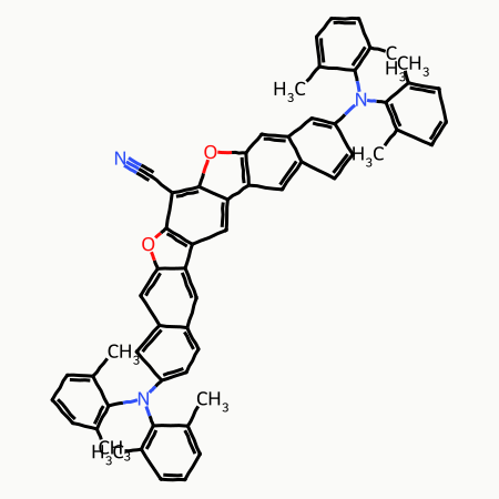 Cc1cccc(C)c1N(c1ccc2cc3c(cc2c1)oc1c(C#N)c2oc4cc5cc(N(c6c(C)cccc6C)c6c(C)cccc6C)ccc5cc4c2cc13)c1c(C)cccc1C